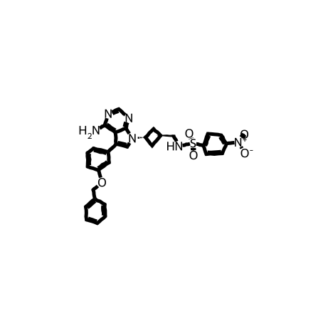 Nc1ncnc2c1c(-c1cccc(OCc3ccccc3)c1)cn2[C@H]1C[C@H](CNS(=O)(=O)c2ccc([N+](=O)[O-])cc2)C1